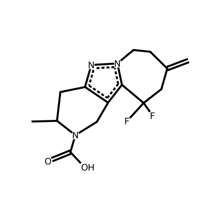 C=C1CCn2nc3c(c2C(F)(F)C1)CN(C(=O)O)C(C)C3